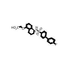 O=C(O)COc1cccc2c1CCC[C@H]2NS(=O)(=O)c1ccc(-c2ccc(F)cc2)cc1